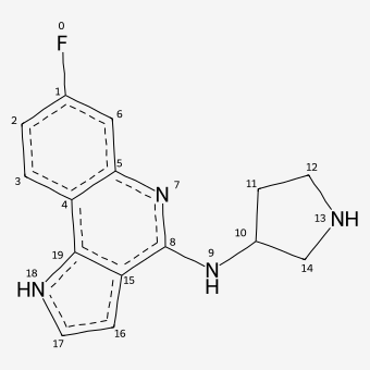 Fc1ccc2c(c1)nc(NC1CCNC1)c1cc[nH]c12